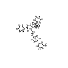 O=S(=O)(NC1CCN(c2cccnn2)CC1CO[C@H]1CC[C@@H](c2cccc(F)c2)CC1)N1CCOCC1